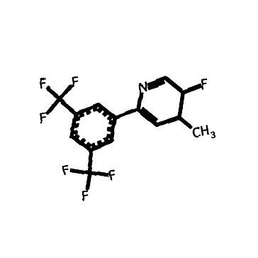 CC1C=C(c2cc(C(F)(F)F)cc(C(F)(F)F)c2)N=CC1F